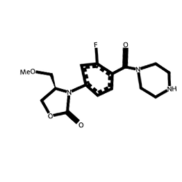 COC[C@@H]1COC(=O)N1c1ccc(C(=O)N2CCNCC2)c(F)c1